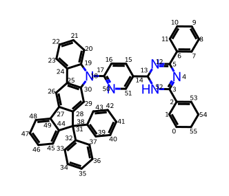 C1=CC(C2=NC(c3ccccc3)=NC(c3ccc(-n4c5ccccc5c5cc6c(cc54)C(c4ccccc4)(c4ccccc4)c4ccccc4-6)nc3)N2)=CCC1